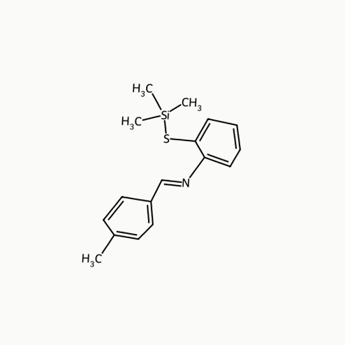 Cc1ccc(C=Nc2ccccc2S[Si](C)(C)C)cc1